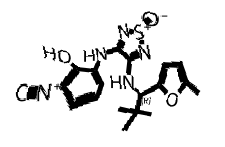 [C-]#[N+]c1cccc(Nc2n[s+]([O-])nc2N[C@@H](c2ccc(C)o2)C(C)(C)C)c1O